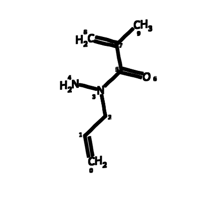 C=CCN(N)C(=O)C(=C)C